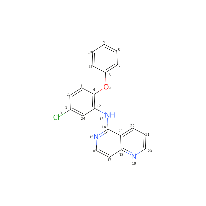 Clc1ccc(Oc2ccccc2)c(Nc2nccc3ncccc23)c1